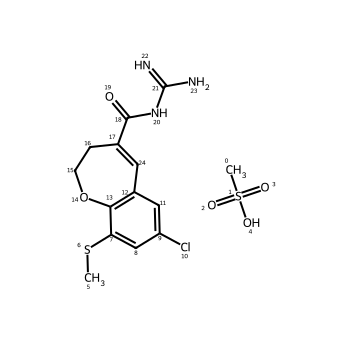 CS(=O)(=O)O.CSc1cc(Cl)cc2c1OCCC(C(=O)NC(=N)N)=C2